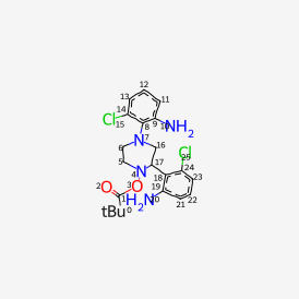 CC(C)(C)C(=O)ON1CCN(c2c(N)cccc2Cl)CC1c1c(N)cccc1Cl